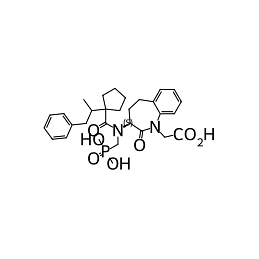 CC(Cc1ccccc1)C1(C(=O)N(CP(=O)(O)O)[C@H]2CCc3ccccc3N(CC(=O)O)C2=O)CCCC1